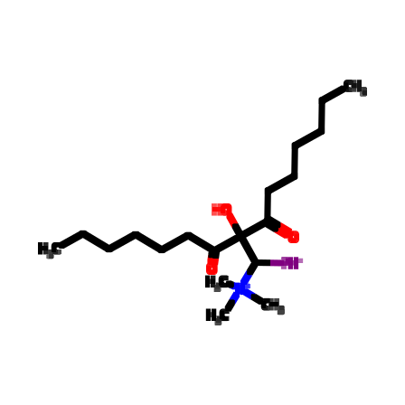 CCCCCCC(=O)C(O)(C(=O)CCCCCC)C([PH-])[N+](C)(C)C